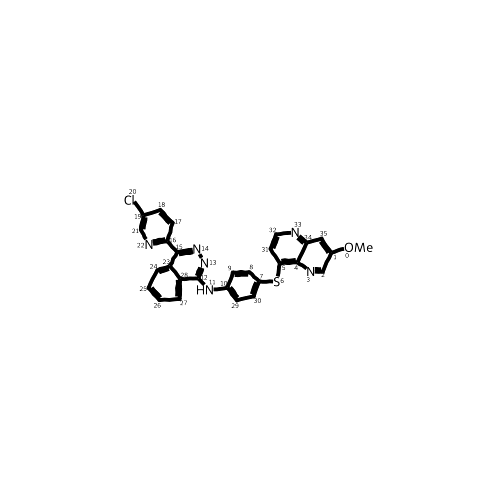 COc1cnc2c(Sc3ccc(Nc4nnc(-c5ccc(Cl)cn5)c5ccccc45)cc3)ccnc2c1